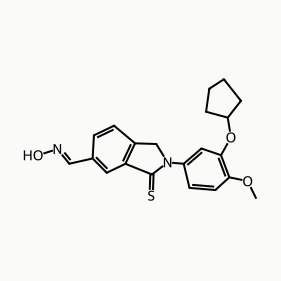 COc1ccc(N2Cc3ccc(C=NO)cc3C2=S)cc1OC1CCCC1